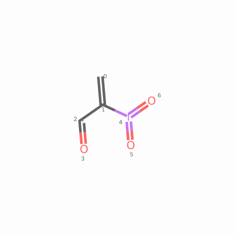 C=C([C]=O)I(=O)=O